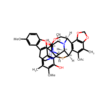 COc1ccc2oc3c(c2c1)CCN[C@]31CS[C@@H]2c3c(OC(C)=O)c(C)c4c(c3[C@H](COC1=O)N1[C@@H]2[C@@H]2N[C@@H](Cc3cc(C)c(OC)c(O)c32)[C@@H]1C#N)OCO4